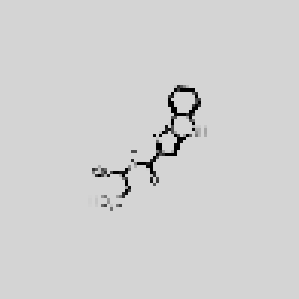 CC(C)(C)C(CC(=O)O)NC(=O)c1cc2[nH]c3ccccc3n2n1